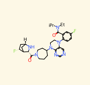 CCN(C(=O)c1cc(F)ccc1N1CCN(C2CCCN(C(=O)[C@H]3N[C@@H]4CC3[C@H](F)C4)CC2)c2ncncc21)C(C)C